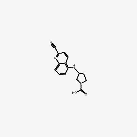 N#Cc1ccc2c(NC3CCN(C(=O)O)C3)cccc2n1